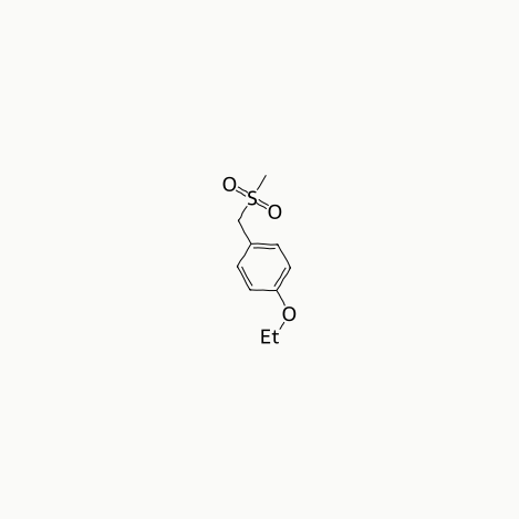 CCOc1ccc(CS(C)(=O)=O)cc1